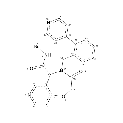 CC(C)(C)NC(=O)C1c2cnccc2OCC(=O)N1Cc1ccccc1-c1ccncc1